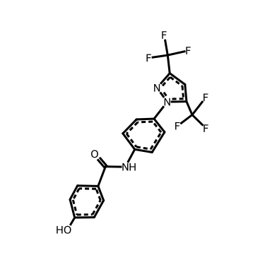 O=C(Nc1ccc(-n2nc(C(F)(F)F)cc2C(F)(F)F)cc1)c1ccc(O)cc1